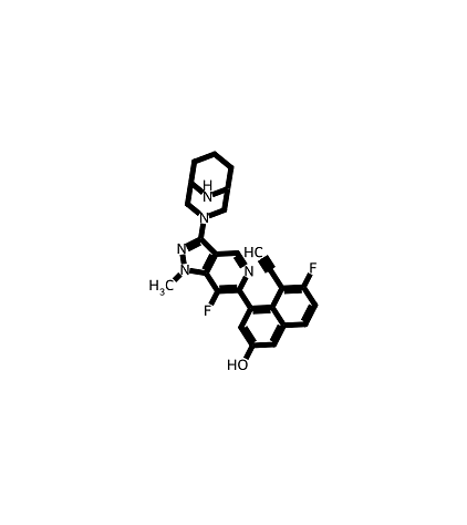 C#Cc1c(F)ccc2cc(O)cc(-c3ncc4c(N5CC6CCCC(C5)N6)nn(C)c4c3F)c12